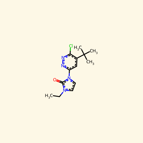 CCn1ccn(-c2cc(C(C)(C)C)c(Cl)nn2)c1=O